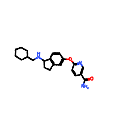 NC(=O)c1ccc(Oc2ccc3c(c2)CCC3NCC2CCCCC2)nc1